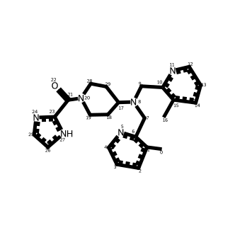 Cc1cccnc1CN(Cc1ncccc1C)C1CCN(C(=O)c2ncc[nH]2)CC1